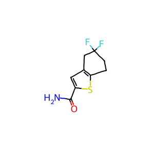 NC(=O)c1cc2c(s1)CCC(F)(F)C2